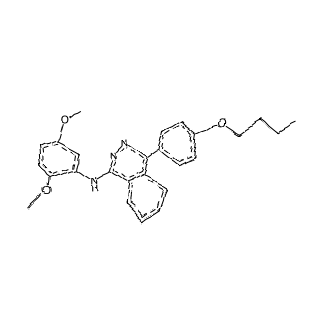 CCCCOc1ccc(-c2nnc(Nc3cc(OC)ccc3OC)c3ccccc23)cc1